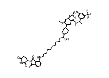 COc1cc2nc(C)nc(N[C@H](C)c3cc(N)cc(C(F)(F)F)c3)c2cc1C1CCN(C(O)CCCCCCCCCCNc2cccc3c2C(=O)N(C2CCC(=O)NC2=O)C3=O)CC1